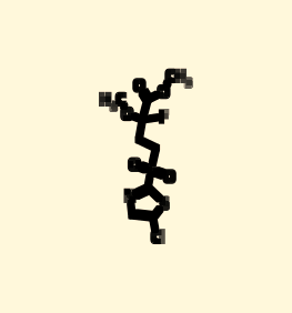 COC(=O)C(F)(CCS(=O)(=O)c1ncc(Cl)s1)OC